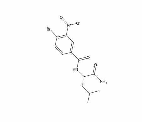 CC(C)C[C@H](NC(=O)c1ccc(Br)c([N+](=O)[O-])c1)C(N)=O